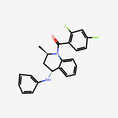 C[C@@H]1C[C@@H](Nc2ccccc2)c2ccccc2N1C(=O)c1ccc(F)cc1F